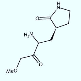 COCC(=O)C(N)C[C@@H]1CCNC1=O